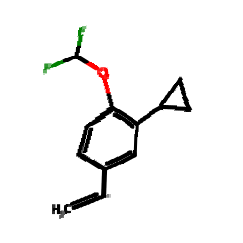 C=[C]c1ccc(OC(F)F)c(C2CC2)c1